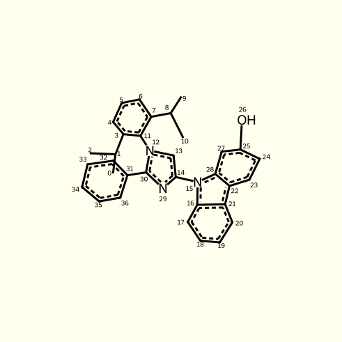 CC(C)c1cccc(C(C)C)c1-n1cc(-n2c3ccccc3c3ccc(O)cc32)nc1-c1ccccc1